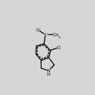 C[S+]([O-])c1ccc2c(c1Cl)CNC2